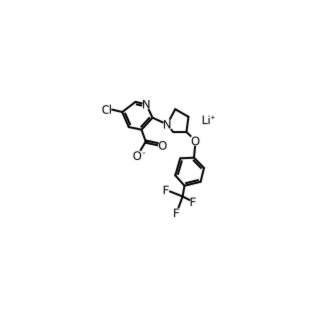 O=C([O-])c1cc(Cl)cnc1N1CCC(Oc2ccc(C(F)(F)F)cc2)C1.[Li+]